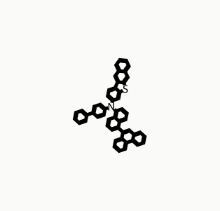 c1ccc(-c2ccc(N(c3ccc4c(c3)sc3cc5ccccc5cc34)c3cccc4c(-c5cc6ccccc6c6ccccc56)cccc34)cc2)cc1